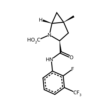 C[C@@]12C[C@@H](C(=O)Nc3cccc(C(F)(F)F)c3F)N(C(=O)O)[C@@H]1C2